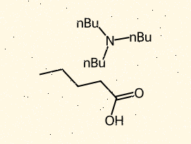 CCCCC(=O)O.CCCCN(CCCC)CCCC